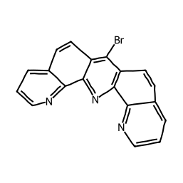 Brc1c2ccc3cccnc3c2nc2c1ccc1cccnc12